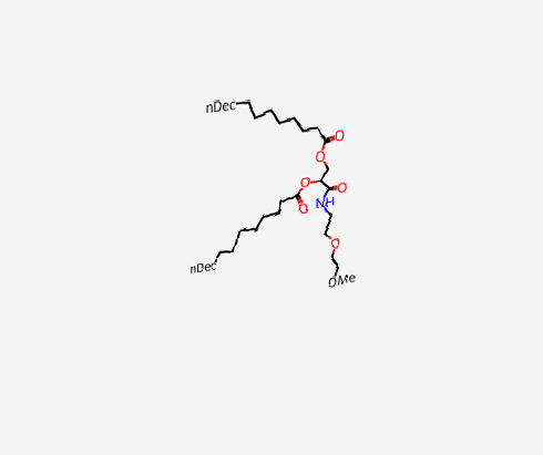 CCCCCCCCCCCCCCCCCC(=O)OCC(OC(=O)CCCCCCCCCCCCCCCCC)C(=O)NCCOCCOC